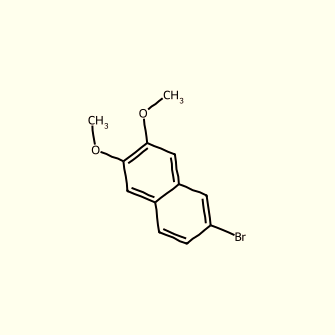 COc1cc2ccc(Br)cc2cc1OC